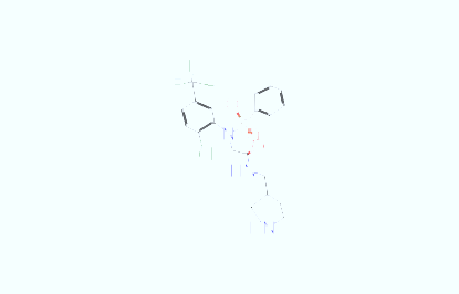 O=C(CN(c1cc(C(F)(F)F)ccc1Cl)S(=O)(=O)c1ccccc1)NCC1CCNCC1